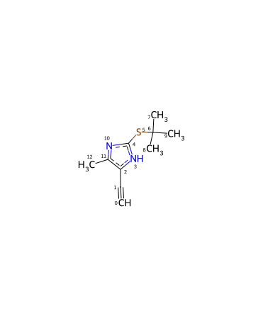 C#Cc1[nH]c(SC(C)(C)C)nc1C